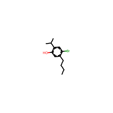 CCCCc1cc(O)c(C(C)C)cc1Br